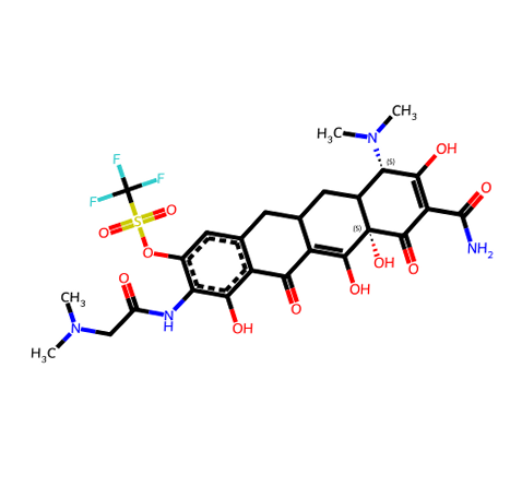 CN(C)CC(=O)Nc1c(OS(=O)(=O)C(F)(F)F)cc2c(c1O)C(=O)C1=C(O)[C@]3(O)C(=O)C(C(N)=O)=C(O)[C@@H](N(C)C)C3CC1C2